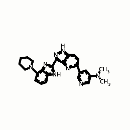 CN(C)c1cncc(-c2ccc3[nH]nc(-c4nc5c(N6CCCCC6)cccc5[nH]4)c3n2)c1